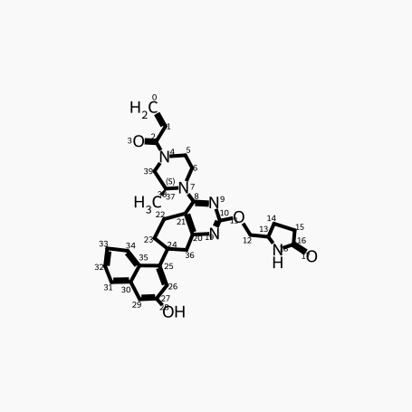 C=CC(=O)N1CCN(c2nc(OCC3CCC(=O)N3)nc3c2CCC(c2cc(O)cc4ccccc24)C3)[C@@H](C)C1